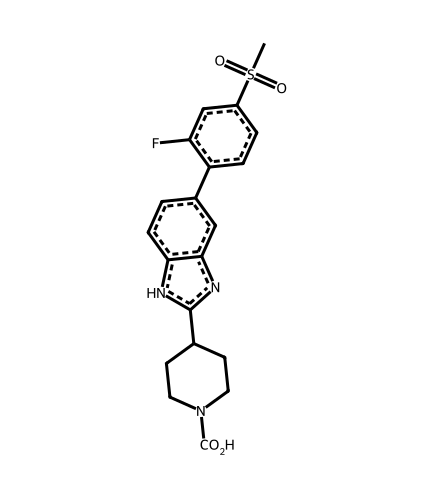 CS(=O)(=O)c1ccc(-c2ccc3[nH]c(C4CCN(C(=O)O)CC4)nc3c2)c(F)c1